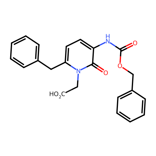 O=C(O)Cn1c(Cc2ccccc2)ccc(NC(=O)OCc2ccccc2)c1=O